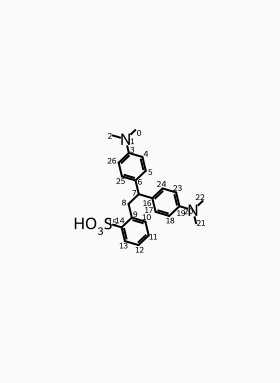 CN(C)c1ccc(C(Cc2ccccc2S(=O)(=O)O)c2ccc(N(C)C)cc2)cc1